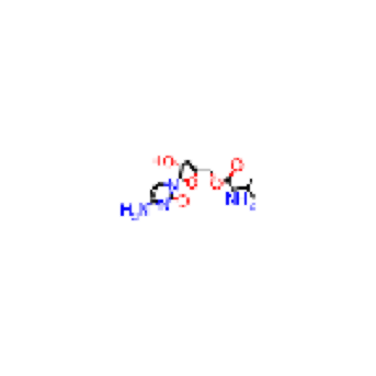 CC(C)[C@H](N)C(=O)OCC1=C[C@@H](O)[C@H](n2ccc(N)nc2=O)O1